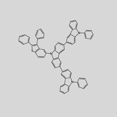 c1ccc(-c2sc3ccc(-n4c5ccc(-c6ccc7c(c6)c6ccccc6n7-c6ccccc6)cc5c5cc(-c6ccc7c(c6)c6ccccc6n7-c6ccccc6)ccc54)cc3c2-c2ccccc2)cc1